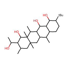 CC(O)C1C(C)CC2(C)CC3C(C)C4CCC(C(C)(C)C)C(O)C4C(O)C3C(C)C2(C)C1O